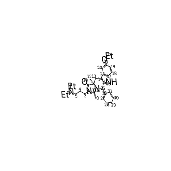 C=C1N(CCCN(CC)CC)C(=O)[C@]2(C)Cc3c([nH]c4ccc(OCC)cc34)[C@@H](c3ccccc3)N12